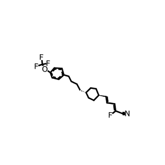 N#CC(F)=CC=C[C@H]1CC[C@H](CCCCc2ccc(OC(F)(F)F)cc2)CC1